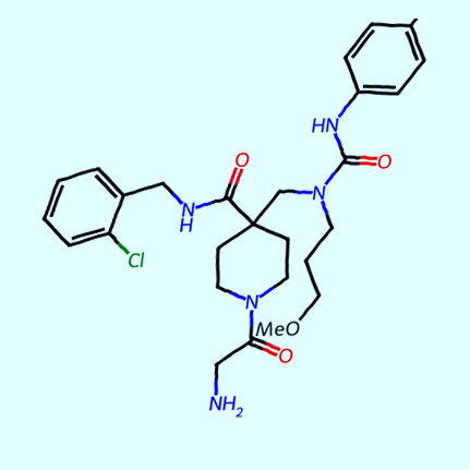 CCc1ccc(NC(=O)N(CCCOC)CC2(C(=O)NCc3ccccc3Cl)CCN(C(=O)CN)CC2)cc1